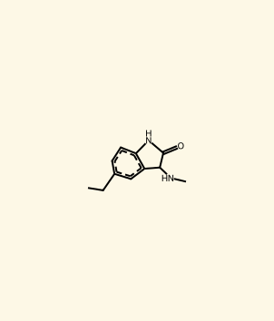 CCc1ccc2c(c1)C(NC)C(=O)N2